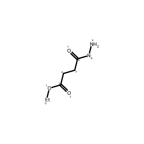 CCOC(=O)CCC(=O)[N]N